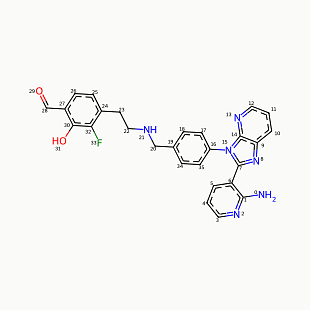 Nc1ncccc1-c1nc2cccnc2n1-c1ccc(CNCCc2ccc(C=O)c(O)c2F)cc1